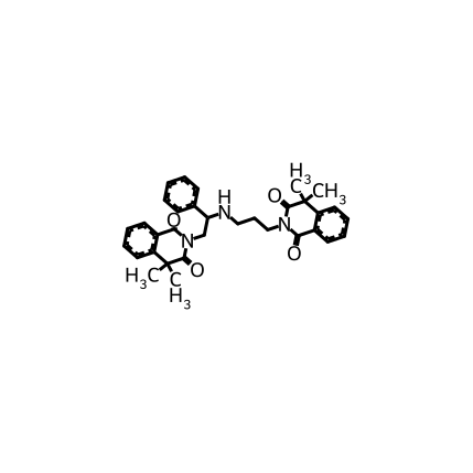 CC1(C)C(=O)N(CCCNC(CN2C(=O)c3ccccc3C(C)(C)C2=O)c2ccccc2)C(=O)c2ccccc21